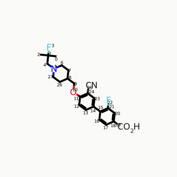 CC(C)(F)CN1CCC(COc2ccc(-c3ccc(C(=O)O)cc3F)cc2C#N)CC1